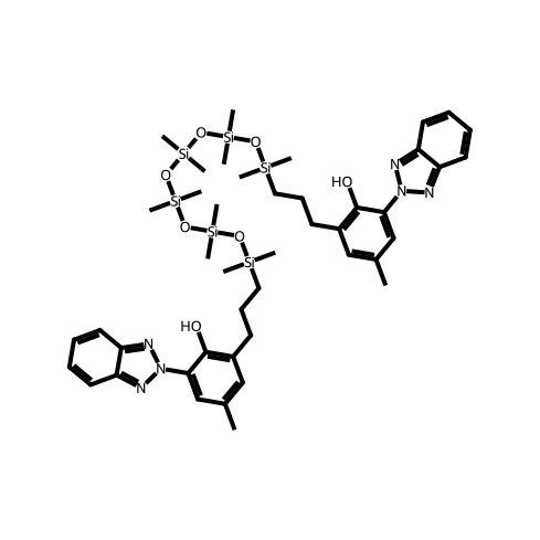 Cc1cc(CCC[Si](C)(C)O[Si](C)(C)O[Si](C)(C)O[Si](C)(C)O[Si](C)(C)O[Si](C)(C)CCCc2cc(C)cc(-n3nc4ccccc4n3)c2O)c(O)c(-n2nc3ccccc3n2)c1